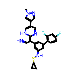 Cn1cc(C2=CN/C(=C(\C=N)c3cc(NSC4CC4)cc(-c4ccc(F)cc4F)c3)N=C2)cn1